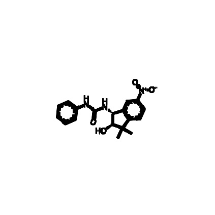 CC1(C)c2ccc([N+](=O)[O-])cc2[C@@H](NC(=O)Nc2ccccc2)[C@@H]1O